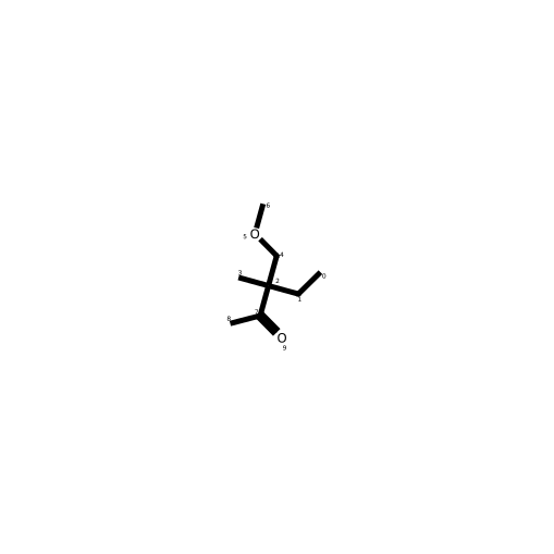 CCC(C)(COC)C(C)=O